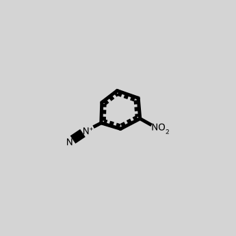 N#[N+]c1cccc([N+](=O)[O-])c1